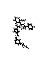 COc1cccc(OCc2ccc(C(=O)NC(CC(=N)c3cccnc3)C3=C(O)CCC=C3)o2)c1